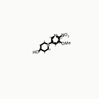 COc1cc(N2CCC(O)CC2)cnc1[N+](=O)[O-]